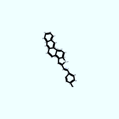 Cc1ccc(/C=C/c2cc3c(ccc4c5cc6ccccc6cc5ccc34)s2)cc1